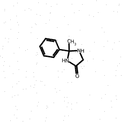 CC1(c2[c]cccc2)NCC(=O)N1